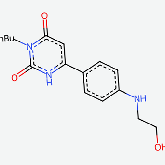 CCCCn1c(=O)cc(-c2ccc(NCCO)cc2)[nH]c1=O